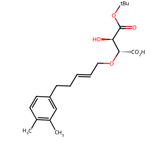 Cc1ccc(CC/C=C/CO[C@@H](C(=O)O)[C@@H](O)C(=O)OC(C)(C)C)cc1C